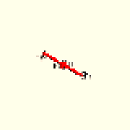 CC(C)CCCCCCCCCCCCCCC/C(C(=O)O)=C(/CCCCCCCCCCCCCCCC(C)C)C(=O)O